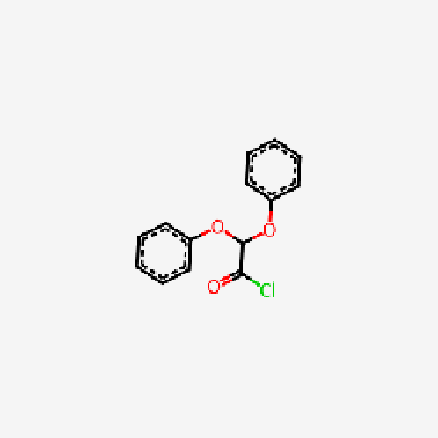 O=C(Cl)C(Oc1ccccc1)Oc1ccccc1